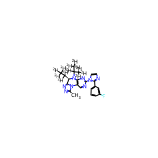 [2H]C([2H])([2H])C([2H])([2H])[C@@H]1c2nnc(C)n2-c2cnc(-n3ccnc3-c3cccc(F)c3)nc2N1C([2H])(C([2H])([2H])[2H])C([2H])([2H])[2H]